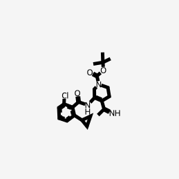 CC(=N)C1=C(NC(=O)c2c(Cl)cccc2C2CC2)CN(C(=O)OC(C)(C)C)CC1